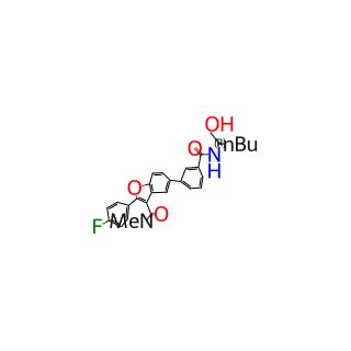 CCCC[C@H](CO)NC(=O)c1cccc(-c2ccc3oc(-c4ccc(F)cc4)c(C(=O)NC)c3c2)c1